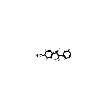 CC1C=CC(C(=O)C(O)c2ccccc2)=CC1